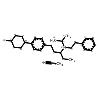 CC#N.CCC(CCc1ccc(C2CCC(F)CC2)cc1)N(CCc1ccccc1)C(C)C